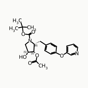 CC(=O)O[C@H]1[C@@H](Cc2ccc(Oc3cccnc3)cc2)N(C(=O)OC(C)(C)C)C[C@@H]1O